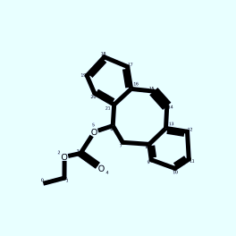 CCOC(=O)OC1Cc2ccccc2C#Cc2ccccc21